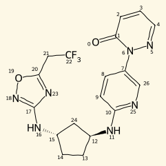 O=c1cccnn1-c1ccc(N[C@H]2CC[C@H](Nc3noc(CC(F)(F)F)n3)C2)nc1